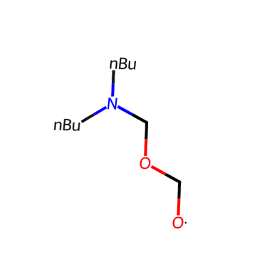 CCCCN(CCCC)COC[O]